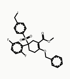 COC(=O)C1=C(OCc2ccccc2)CCC(c2cc(F)ccc2F)(S(=O)(=O)c2ccc(CI)cc2)C1